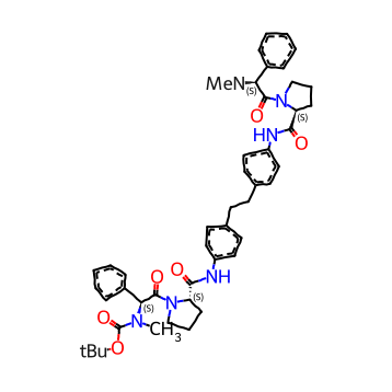 CN[C@H](C(=O)N1CCC[C@H]1C(=O)Nc1ccc(CCc2ccc(NC(=O)[C@@H]3CCCN3C(=O)[C@H](c3ccccc3)N(C)C(=O)OC(C)(C)C)cc2)cc1)c1ccccc1